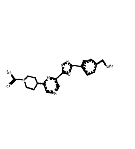 CCC(=O)N1CCC(c2cncc(-c3nnc(-c4ccc(CNC)cc4)o3)n2)CC1